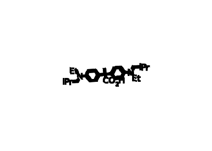 CCN(CC(C)C)c1ccc(C(C)(C(=O)O)c2ccc(N(CC)CC(C)C)cc2)cc1